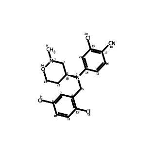 CN1C[C@@H](N(Cc2cc(Cl)ccc2Cl)c2ccc(C#N)c(Cl)c2)CCO1